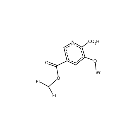 CCC(CC)OC(=O)c1cnc(C(=O)O)c(OC(C)C)c1